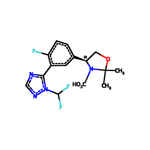 CC1(C)OC[C@H](c2ccc(F)c(-c3ncnn3C(F)F)c2)N1C(=O)O